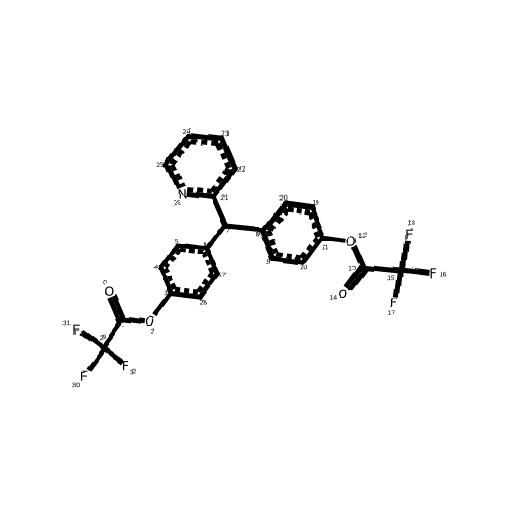 O=C(Oc1ccc(C(c2ccc(OC(=O)C(F)(F)F)cc2)c2ccccn2)cc1)C(F)(F)F